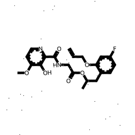 C=CCOc1cc(F)ccc1CC(C)OC(=O)CNC(=O)c1nccc(OC)c1O